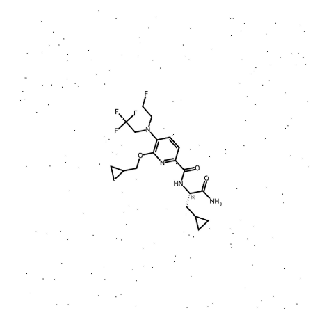 NC(=O)[C@H](CC1CC1)NC(=O)c1ccc(N(CCF)CC(F)(F)F)c(OCC2CC2)n1